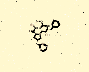 CC(C)(C)NC(=O)[C@@H]1C[C@@H](Sc2ncccn2)CN1C[C@@H](O)[C@H](Cc1ccccc1)NC(=O)OC(C)(C)C